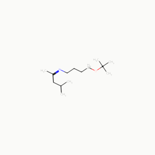 CC(CC(C)C)=NCCC[SiH2]OC(C)(C)C